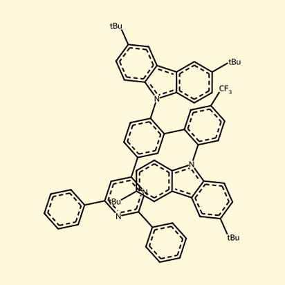 CC(C)(C)c1ccc2c(c1)c1cc(C(C)(C)C)ccc1n2-c1ccc(-c2cc(-c3ccccc3)nc(-c3ccccc3)n2)cc1-c1cc(C(F)(F)F)ccc1-n1c2ccc(C(C)(C)C)cc2c2cc(C(C)(C)C)ccc21